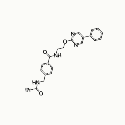 CC(C)C(=O)NCc1ccc(C(=O)NCCOc2ncc(-c3ccccc3)cn2)cc1